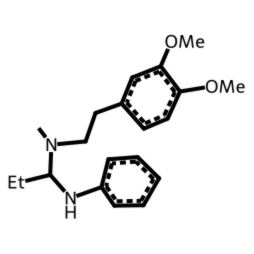 CCC(Nc1ccccc1)N(C)CCc1ccc(OC)c(OC)c1